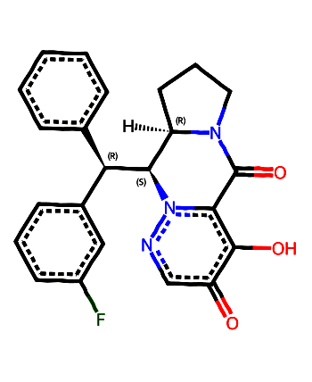 O=C1c2c(O)c(=O)cnn2[C@@H]([C@H](c2ccccc2)c2cccc(F)c2)[C@H]2CCCN12